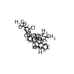 COC(=O)c1cc(Cl)nc(Oc2ccc3c(c2)S(O)(O)N=C(c2c(N(O)CC(C)C)c4ccccc4[nH]c2=O)N3)c1